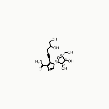 NC(=O)c1ncn([C@@H]2O[C@H](CO)[C@@H](O)[C@H]2O)c1C#CCC(O)CO